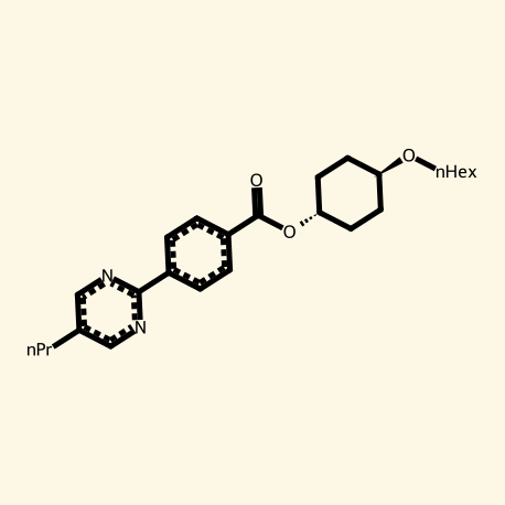 CCCCCCO[C@H]1CC[C@H](OC(=O)c2ccc(-c3ncc(CCC)cn3)cc2)CC1